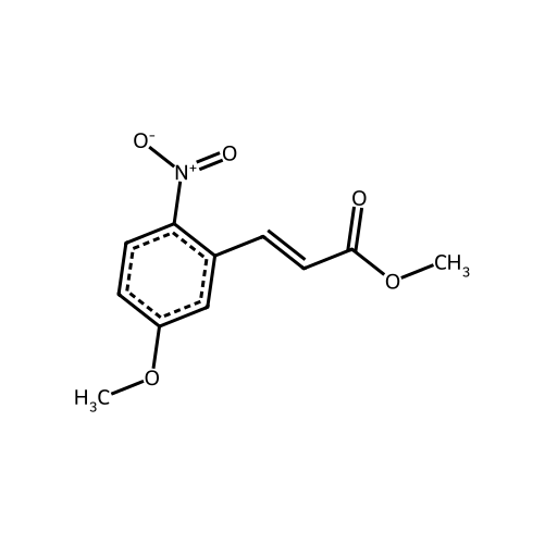 COC(=O)C=Cc1cc(OC)ccc1[N+](=O)[O-]